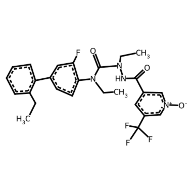 CCc1ccccc1-c1ccc(N(CC)C(=O)N(CC)NC(=O)c2cc(C(F)(F)F)c[n+]([O-])c2)c(F)c1